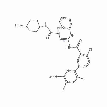 CNc1nc(-c2ccc(Cl)c(C(=O)N/C(=C/C(=N)C(=O)N[C@H]3CC[C@@H](O)CC3)Nc3ccccc3)c2)c(F)cc1F